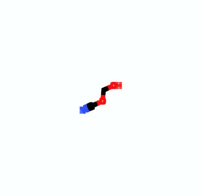 N#COCO